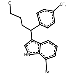 OCCCC(c1ccc(C(F)(F)F)cc1)c1c[nH]c2c(Br)cccc12